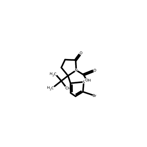 CC(C)(C)C1(c2ccc(Br)s2)CCC(=O)N1C(=O)O